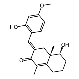 COc1ccc(/C=C2\C[C@@]3(C)C(=C(C)C2=O)CCC[C@@H]3O)c(O)c1